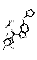 CN1C[C@@H]2C[C@H]1CN2C(=O)c1n[nH]c2ccc(OC3CCCC3)cc12.O=CO